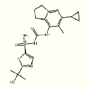 Cc1c(C2CC2)nc2c(c1NC(=O)N[SH](N)(=O)c1cnc(C(C)(C)O)s1)CCC2